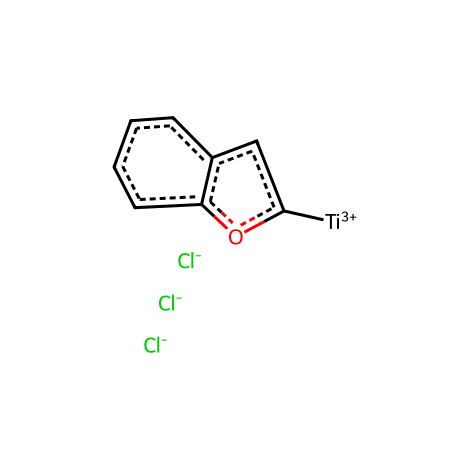 [Cl-].[Cl-].[Cl-].[Ti+3][c]1cc2ccccc2o1